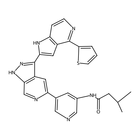 CC(C)CC(=O)Nc1cncc(-c2cc3c(-c4cc5c(-c6cccs6)nccc5[nH]4)n[nH]c3cn2)c1